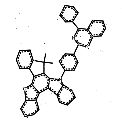 CC1(C)c2ccccc2-c2c1c1c(c3ccccc3n1-c1ccc(-c3nc(-c4ccccc4)c4ccccc4n3)cc1)c1c2oc2ccccc21